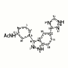 CC(=O)Nc1cccc(-c2n[nH]c3ccc(-c4nc[nH]n4)cc23)c1